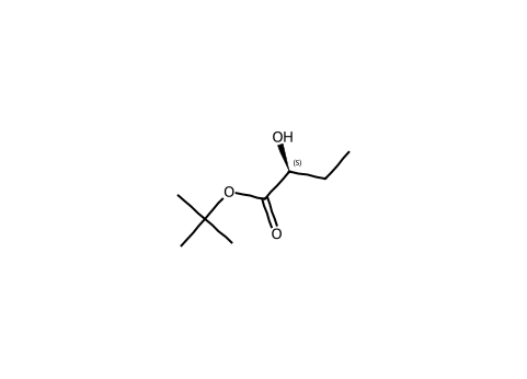 CC[C@H](O)C(=O)OC(C)(C)C